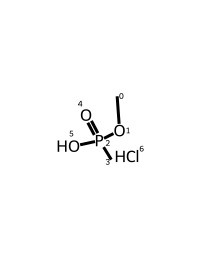 COP(C)(=O)O.Cl